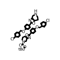 CC(C)(C)OC(=O)N1CCc2oc(-c3ccc(OCc4ccc(Cl)cc4)cc3)nc2C1.Clc1ccc(COc2ccc(-c3nc4c(o3)CCNC4)cc2)cc1